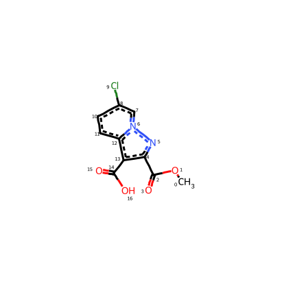 COC(=O)c1nn2cc(Cl)ccc2c1C(=O)O